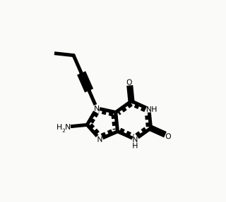 CCC#Cn1c(N)nc2[nH]c(=O)[nH]c(=O)c21